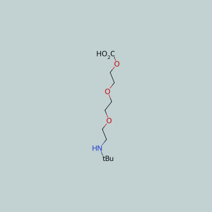 CC(C)(C)NCCOCCOCCOC(=O)O